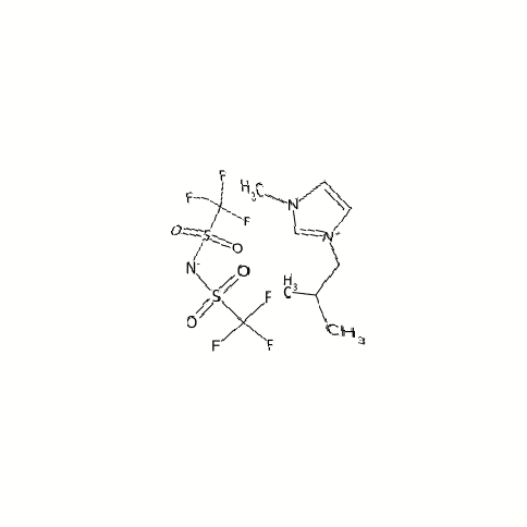 CC(C)C[n+]1ccn(C)c1.O=S(=O)([N-]S(=O)(=O)C(F)(F)F)C(F)(F)F